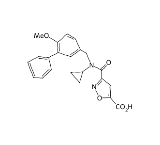 COc1ccc(CN(C(=O)c2cc(C(=O)O)on2)C2CC2)cc1-c1ccccc1